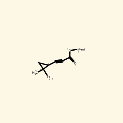 CCCCCOC(=O)C#CC1CC1(C)C